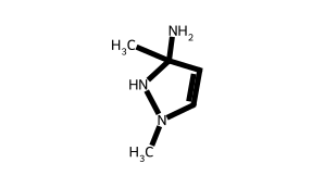 CN1C=CC(C)(N)N1